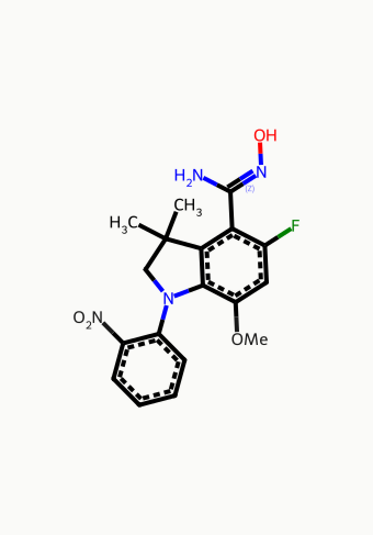 COc1cc(F)c(/C(N)=N/O)c2c1N(c1ccccc1[N+](=O)[O-])CC2(C)C